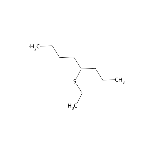 [CH2]CCCC(CCC)SCC